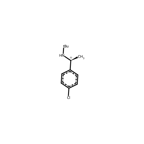 C[C@H](NC(C)(C)C)c1ccc(Cl)cc1